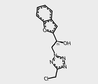 O[C@@H](Cn1nnc(CCl)n1)c1cc2ccccc2o1